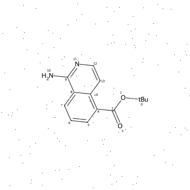 CC(C)(C)OC(=O)c1cccc2c(N)nccc12